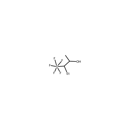 CCC(C(C)O)S(F)(F)(F)(F)F